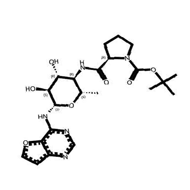 C[C@@H]1O[C@H](Nc2ncnc3ccoc23)[C@@H](O)[C@H](O)[C@H]1NC(=O)[C@H]1CCCN1C(=O)OC(C)(C)C